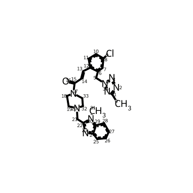 Cc1nnn(Cc2cc(Cl)ccc2C=CC(=O)N2CCN(Cc3nc4ccccc4n3C)CC2)n1